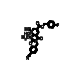 Cn1c2c(c(=O)n(Cc3ccc(C#N)cc3)c1=O)C=C(C(=O)OCc1ccc(F)cc1)CS2(O)O